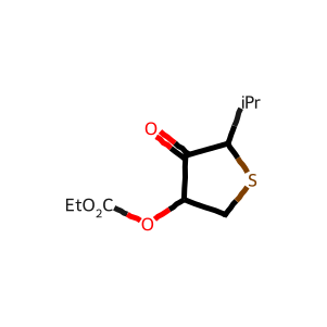 CCOC(=O)OC1CSC(C(C)C)C1=O